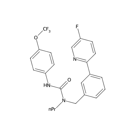 CCCN(Cc1cccc(-c2ccc(F)cn2)c1)C(=O)Nc1ccc(OC(F)(F)F)cc1